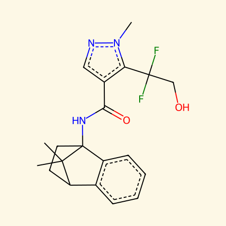 Cn1ncc(C(=O)NC23CCC(c4ccccc42)C3(C)C)c1C(F)(F)CO